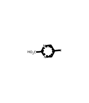 O=C(O)c1ncc(I)cn1